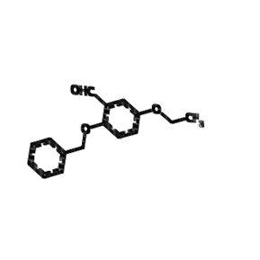 O=Cc1cc(OCC(F)(F)F)ccc1OCc1ccccc1